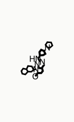 O=c1ccc2cnc(Nc3ccc(N4CCCCC4)cc3)nc2n1C1CCC2CCCCC2C1